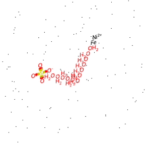 O.O.O.O.O.O.O.O.O.O.O.O.O=S(=O)([O-])[O-].[Fe].[Ni+2]